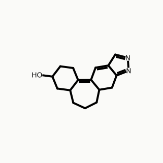 OC1CCC2=C3C=C4C=NN=C4CC3CCCC2C1